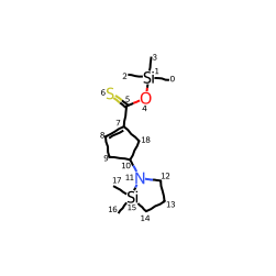 C[Si](C)(C)OC(=S)C1=CCC(N2CCC[Si]2(C)C)C1